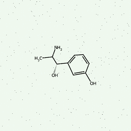 CC(N)[C@@H](O)c1cccc(O)c1